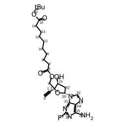 C#C[C@]1(COC(=O)CCCCCCCCC(=O)OC(C)(C)C)O[C@@H](n2cnc3c(N)nc(F)nc32)C[C@@H]1O